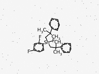 CC(C)([CH2][Sn]([F])([CH2]C(C)(C)c1ccccc1)[c]1ccc(F)cc1F)c1ccccc1